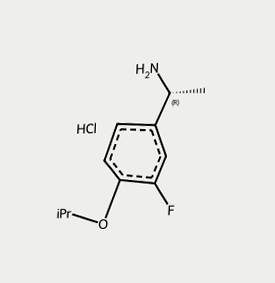 CC(C)Oc1ccc([C@@H](C)N)cc1F.Cl